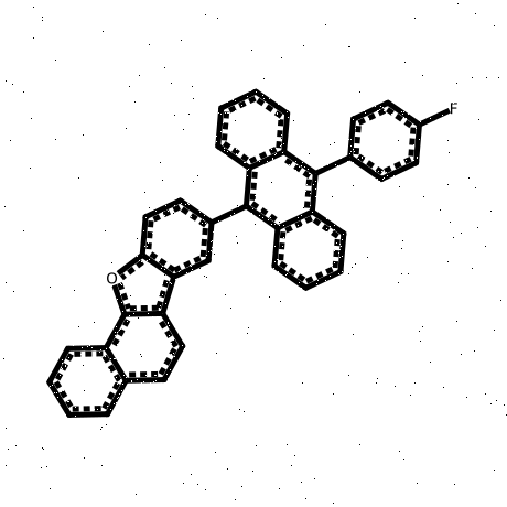 Fc1ccc(-c2c3ccccc3c(-c3ccc4oc5c6ccccc6ccc5c4c3)c3ccccc23)cc1